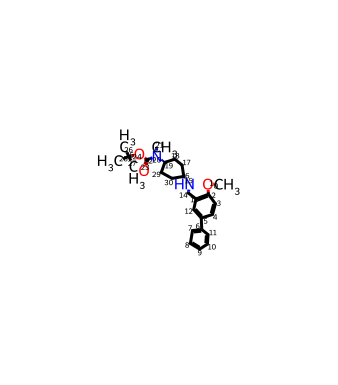 COc1ccc(-c2ccccc2)cc1CN[C@H]1CC[C@H](N(C)C(=O)OC(C)(C)C)CC1